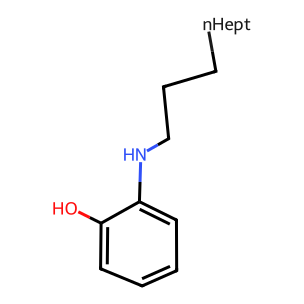 CCCCCCCCCCNc1ccccc1O